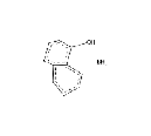 B.Oc1cccc2ccccc12